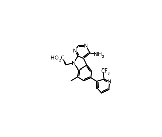 Cc1cc(-c2cccnc2C(F)(F)F)cc2c3c(N)ncnc3n(CC(=O)O)c12